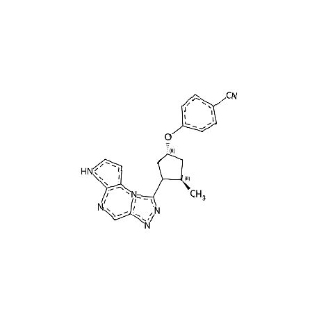 C[C@@H]1C[C@@H](Oc2ccc(C#N)cc2)CC1c1nnc2cnc3[nH]ccc3n12